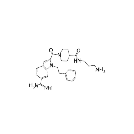 N=C(N)c1ccc2cc(C(=O)N3CCC(C(=O)NCCCN)CC3)n(CCc3ccccc3)c2c1